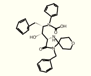 O=C(O)N(c1ccccc1)[C@@H](Cc1ccccc1)[C@@H](O)[C@@H]1NC2(CCOCC2)N(Cc2ccccc2)C1=O